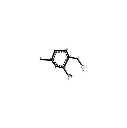 Cc1ccc(CO)c(C(C)C)c1